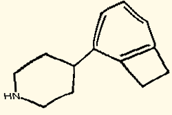 c1cc2c(c(C3CCNCC3)c1)CC2